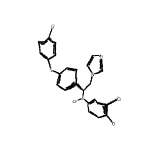 [O-][S+](c1ccc(Cl)c(Cl)c1)C(Cn1ccnc1)c1ccc(Sc2ccc(Cl)cc2)cc1